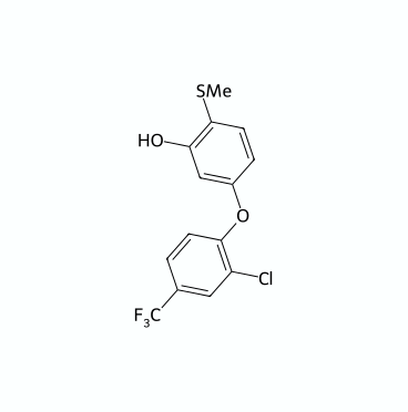 CSc1ccc(Oc2ccc(C(F)(F)F)cc2Cl)cc1O